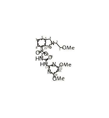 COCCN1Cc2cccc(S(=O)(=O)NC(=O)Nc3nc(OC)cc(OC)n3)c2S1